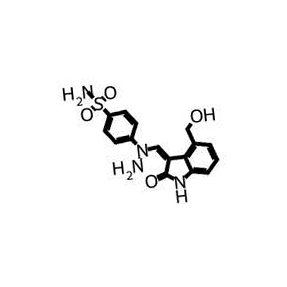 NN(/C=C1\C(=O)Nc2cccc(CO)c21)c1ccc(S(N)(=O)=O)cc1